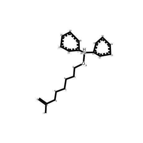 C=C(C)CCCCCCO[SiH](c1ccccc1)c1ccccc1